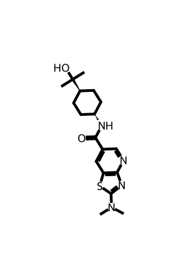 CN(C)c1nc2ncc(C(=O)N[C@H]3CC[C@H](C(C)(C)O)CC3)cc2s1